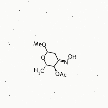 COC1CC(=NO)[C@@H](OC(C)=O)[C@H](C)O1